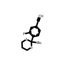 C#Cc1ccc(C2(C(C)(C)C)SCCCS2)c(F)c1